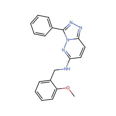 COc1ccccc1CNc1ccc2nnc(-c3ccccc3)n2n1